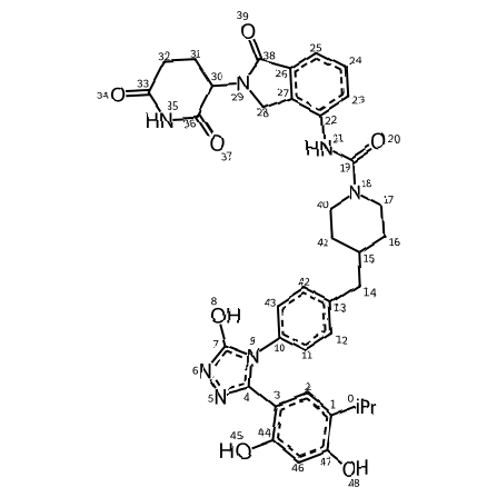 CC(C)c1cc(-c2nnc(O)n2-c2ccc(CC3CCN(C(=O)Nc4cccc5c4CN(C4CCC(=O)NC4=O)C5=O)CC3)cc2)c(O)cc1O